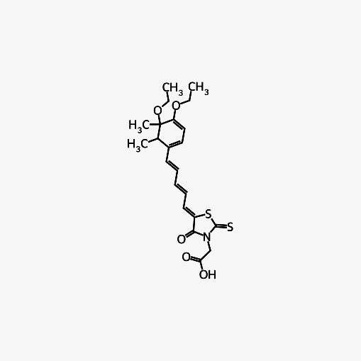 CCOC1=CC=C(C=CC=CC=C2SC(=S)N(CC(=O)O)C2=O)C(C)C1(C)OCC